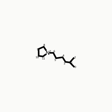 CC(C)CCCCN1CCCC1